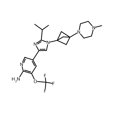 CC(C)c1nc(-c2cnc(N)c(OC(F)(F)F)c2)cn1C12CC(N3CCN(C)CC3)(C1)C2